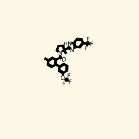 Cc1ccc(-c2cccc(OC(F)(F)F)c2)c(C(=O)N2CCCC2(C)c2nc3cc(C(F)(F)F)ccc3[nH]2)c1